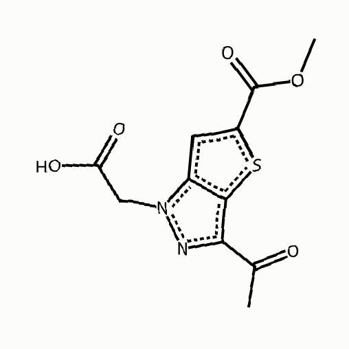 COC(=O)c1cc2c(s1)c(C(C)=O)nn2CC(=O)O